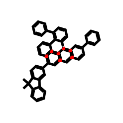 CC1(C)c2ccccc2-c2cc(-c3ccc(N(c4cccc(-c5ccccc5)c4)c4cccc(-c5ccccc5)c4-c4ccccc4-c4ccccc4)cc3)ccc21